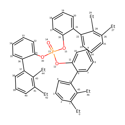 CCc1cccc(-c2ccccc2OP(=O)(Oc2ccccc2-c2cccc(CC)c2CC)Oc2ccccc2-c2cccc(CC)c2CC)c1CC